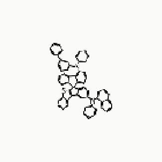 c1ccc(-c2cccc(N(c3ccccc3)c3cccc4c3-c3ccccc3C43c4ccc(N(c5ccccc5)c5cccc6ccccc56)cc4-c4c3sc3ccccc43)c2)cc1